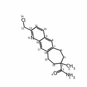 CC1(C(N)=O)CCc2cc3ccc(CCl)nc3cc2CC1